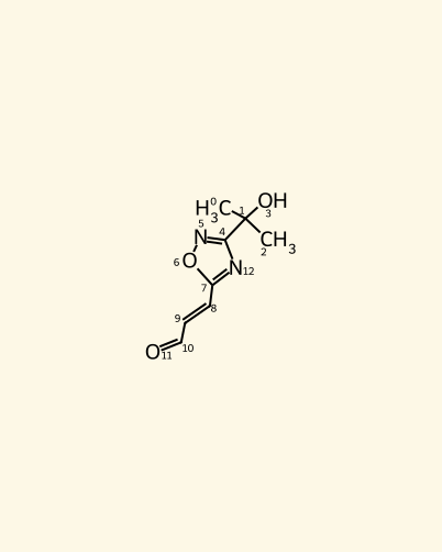 CC(C)(O)c1noc(C=CC=O)n1